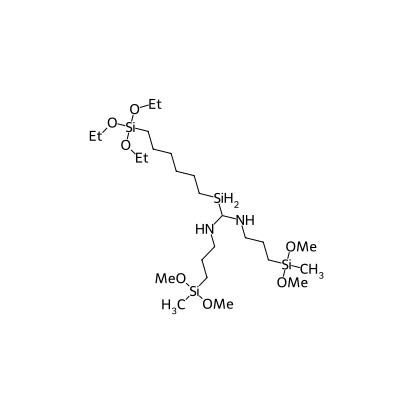 CCO[Si](CCCCCC[SiH2]C(NCCC[Si](C)(OC)OC)NCCC[Si](C)(OC)OC)(OCC)OCC